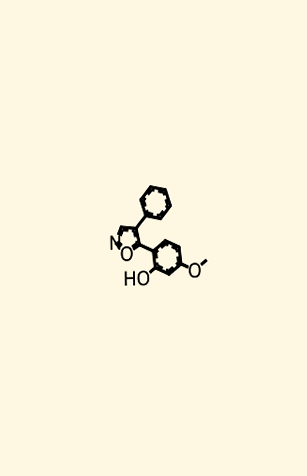 COc1ccc(-c2oncc2-c2ccccc2)c(O)c1